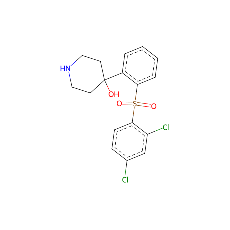 O=S(=O)(c1ccc(Cl)cc1Cl)c1ccccc1C1(O)CCNCC1